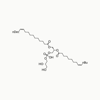 CCCC/C=C\CCCCCCCC(=O)O[C@H](COC(=O)CCCCCCCCC/C=C\CCCCCCCCCC)COP(=O)(O)OC[C@@H](O)CO